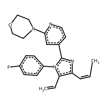 C=Cc1c(/C=C\C)nc(-c2ccnc(N3CCOCC3)c2)n1-c1ccc(F)cc1